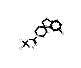 CC(C)(C)OC(=O)N1CCC2(CCc3ccc(Cl)cc32)CC1